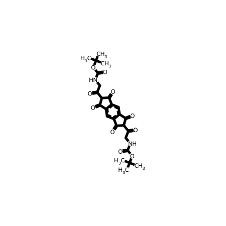 CC(C)(C)OC(=O)NCC(=O)C1C(=O)c2cc3c(cc2C1=O)C(=O)C(C(=O)CNC(=O)OC(C)(C)C)C3=O